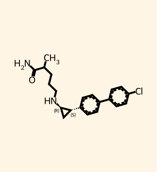 CC(CCCN[C@@H]1C[C@H]1c1ccc(-c2ccc(Cl)cc2)cc1)C(N)=O